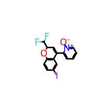 [O-][n+]1ccccc1C1=CC(C(F)F)Oc2ccc(I)cc21